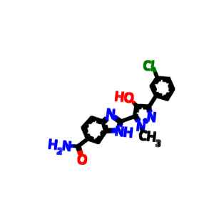 Cn1nc(-c2cccc(Cl)c2)c(O)c1-c1nc2ccc(C(N)=O)cc2[nH]1